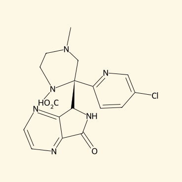 CN1CCN(C(=O)O)[C@](c2ccc(Cl)cn2)(C2NC(=O)c3nccnc32)C1